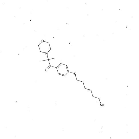 CC(C)(C(=O)c1ccc(SCCCCCCS)cc1)N1CCOCC1